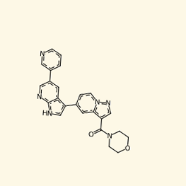 O=C(c1cnn2ccc(-c3c[nH]c4ncc(-c5cccnc5)cc34)cc12)N1CCOCC1